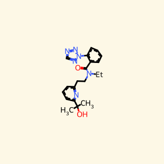 CCN(CCc1cccc(C(C)(C)O)n1)C(=O)c1ccccc1-n1ncnn1